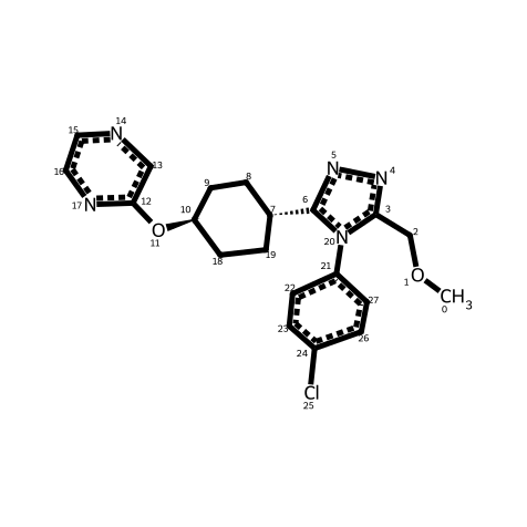 COCc1nnc([C@H]2CC[C@H](Oc3cnccn3)CC2)n1-c1ccc(Cl)cc1